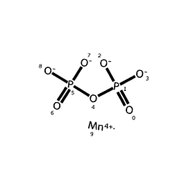 O=P([O-])([O-])OP(=O)([O-])[O-].[Mn+4]